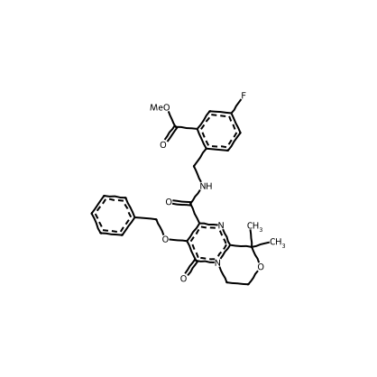 COC(=O)c1cc(F)ccc1CNC(=O)c1nc2n(c(=O)c1OCc1ccccc1)CCOC2(C)C